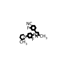 Cc1cc(-c2ccc(C#N)c(F)c2)n(-c2ccc(N3CCCC(C)C3)cc2F)n1